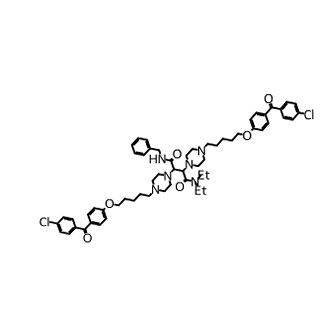 CCN(CC)C(=O)C(C(C(=O)NCc1ccccc1)N1CCN(CCCCCOc2ccc(C(=O)c3ccc(Cl)cc3)cc2)CC1)N1CCN(CCCCCOc2ccc(C(=O)c3ccc(Cl)cc3)cc2)CC1